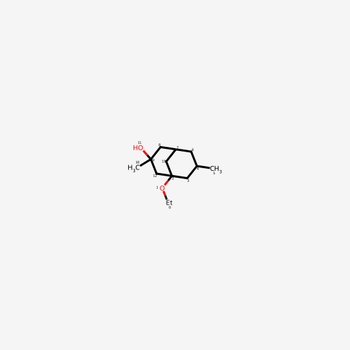 CCOC12CC(C)CC(CC(C)(O)C1)C2